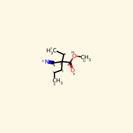 CCCC(C#N)(CC)C(=O)OC